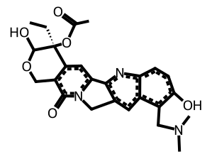 CC[C@]1(OC(C)=O)c2cc3n(c(=O)c2COC1O)Cc1cc2c(CN(C)C)c(O)ccc2nc1-3